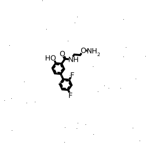 NOCCNC(=O)c1cc(-c2ccc(F)cc2F)ccc1O